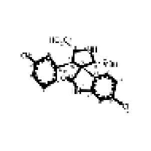 CCCC[C@H]1N[C@@H](C(=O)O)[C@H](c2cccc(Cl)c2)[C@@]12C(=O)Nc1cc(Cl)ccc12